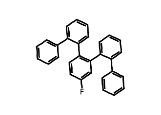 Fc1ccc(-c2ccccc2-c2ccccc2)c(-c2ccccc2-c2ccccc2)c1